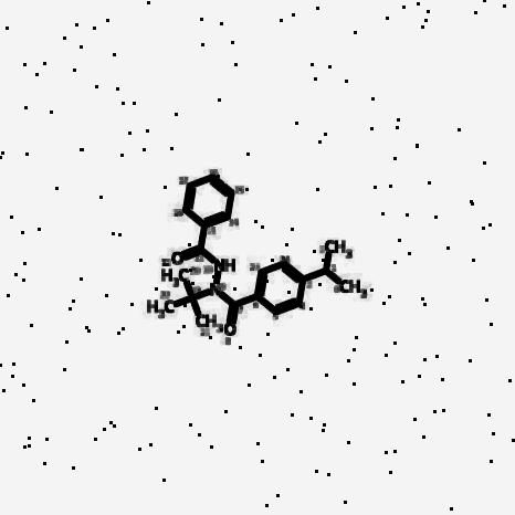 CC(C)c1ccc(C(=O)N(NC(=O)c2ccccc2)C(C)(C)C)cc1